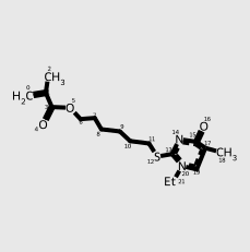 C=C(C)C(=O)OCCCCCCSc1nc(=O)c(C)cn1CC